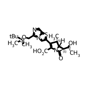 C[C@@H](O)[C@H]1C(=O)N2C(C(=O)O)=C(c3cn4c(CO[Si](C)(C)C(C)(C)C)ncc4s3)[C@H](C)[C@H]12